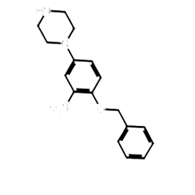 O=[N+]([O-])c1cc(N2CCNCC2)ccc1OCc1ccccc1